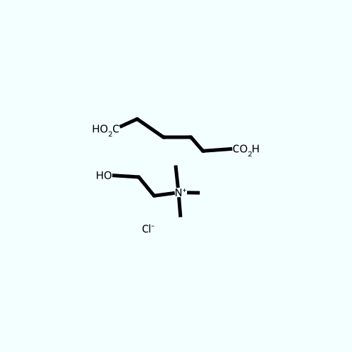 C[N+](C)(C)CCO.O=C(O)CCCCC(=O)O.[Cl-]